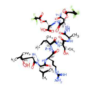 CC[C@H](C)[C@H](NC(=O)[C@@H](CCCNC(=N)N)NC(=O)[C@H](CC(C)C)NC(=O)[C@@H](N)[C@H](O)C(C)C)C(=O)N[C@H](C(=O)N[C@H](C)C(=O)N[C@H](C(=O)N[C@@H](COC(=O)C(F)(F)F)C(=O)O)[C@H](OC(=O)C(F)(F)F)C(N)=O)[C@H](C)O